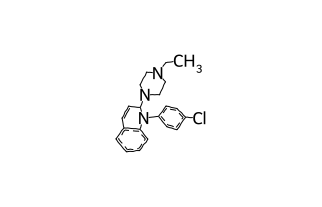 CCN1CCN(C2C=Cc3ccccc3N2c2ccc(Cl)cc2)CC1